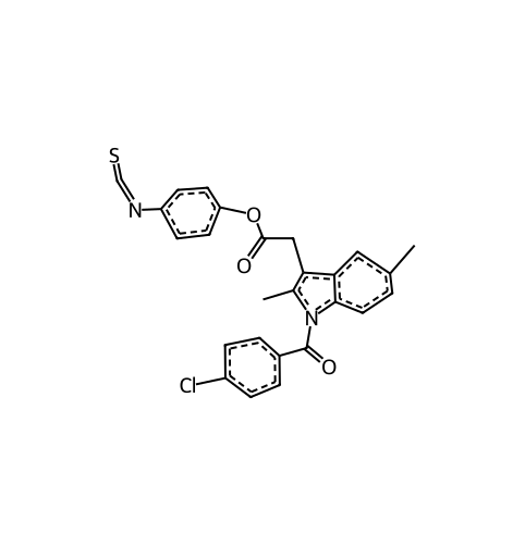 Cc1ccc2c(c1)c(CC(=O)Oc1ccc(N=C=S)cc1)c(C)n2C(=O)c1ccc(Cl)cc1